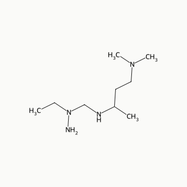 CCN(N)CNC(C)CCN(C)C